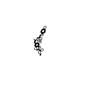 CCOC(=O)[C@H]1COc2cc(C[C@@H](C)NC[C@H](O)COc3ccc(OC)cc3)ccc2O1